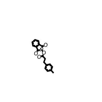 Cc1ccc(CCC(=O)ON2C(=O)c3ccccc3C2=O)cc1